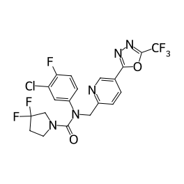 O=C(N1CCC(F)(F)C1)N(Cc1ccc(-c2nnc(C(F)(F)F)o2)cn1)c1ccc(F)c(Cl)c1